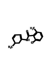 Cc1cccc(Cl)c1C(=O)NC1=CC=CC(C)C1